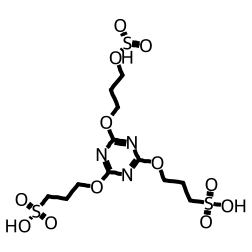 O=[SH](=O)OCCCOc1nc(OCCCS(=O)(=O)O)nc(OCCCS(=O)(=O)O)n1